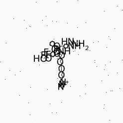 O=C(O)C(F)(F)F.[N-]=[N+]=NCCOCCOCCOCCOC(=O)NC(Cc1ccc(NC(=N)N)cc1)P(=O)(Oc1ccccc1)Oc1ccccc1